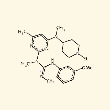 CCN1CCC(N(C)c2cc(C)nc(N(C)/C(=N/C)Nc3cccc(OC)c3)n2)CC1